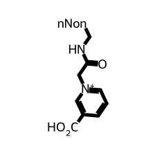 CCCCCCCCCCNC(=O)C[n+]1cccc(C(=O)O)c1